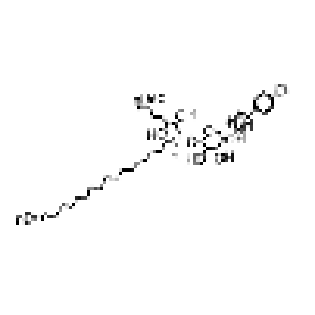 CCCCCCCCCCCCCCCCCCCCCCCCCCN[C@@H](CO[C@@H]1O[C@H](Cn2cc(-c3ccc(CC)cc3)nn2)[C@H](O)[C@H](O)[C@H]1O)[C@H](O)[C@H](O)CCCCCCCCCCCCCC